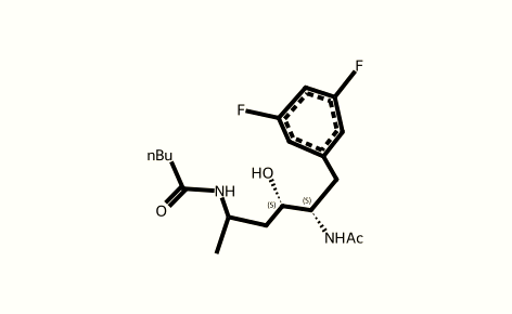 CCCCC(=O)NC(C)C[C@H](O)[C@H](Cc1cc(F)cc(F)c1)NC(C)=O